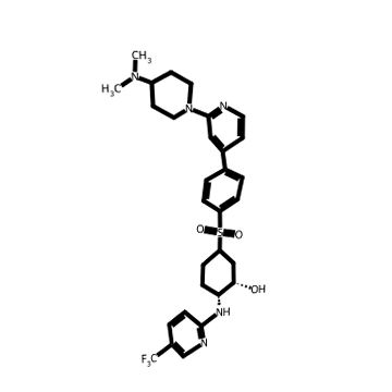 CN(C)C1CCN(c2cc(-c3ccc(S(=O)(=O)C4CC[C@@H](Nc5ccc(C(F)(F)F)cn5)[C@@H](O)C4)cc3)ccn2)CC1